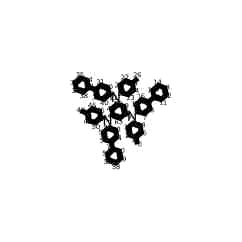 Cc1ccc(N(c2ccc(-c3ccccc3)cc2)c2cc(N(c3ccc(C)cc3)c3ccc(-c4ccccc4)cc3)cc(N(c3ccc(C)cc3)c3ccc(-c4ccccc4)cc3)c2)cc1